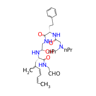 C=C(/C=C\C=C/C)C[C@H](NC(O)CNC(=O)[C@H](CCc1ccccc1)NC(=O)CN(CCC)CCC)C(=O)NCC=O